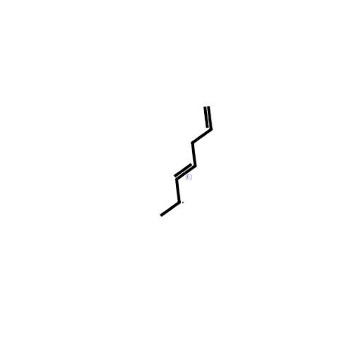 C=CC/C=C/[CH]C